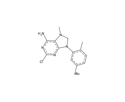 Cc1ccc(C(C)(C)C)cc1N1CN(C)c2c(N)nc(Cl)nc21